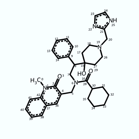 Cn1c(=O)c(CN(CC(c2ccccc2)C2(O)CCN(Cc3ncc[nH]3)CC2)C(=O)C2CCCCC2)cc2ccccc21